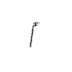 CCC=CCC=CCC=CCC=CCC=CC/C=C\CC(C)C(=O)O